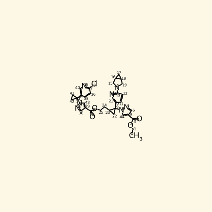 CCOC(=O)c1cnn(C2(c3ccc(N4CC5CC5C4)nc3)CC2CCOC(=O)c2cnn(C3(c4ccc(Cl)nc4)CC3)c2)c1